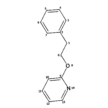 [CH](Cc1ccccc1)Oc1ccccn1